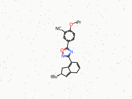 CC(C)Oc1ccc(-c2nc(C3=C4C[C@H](C(C)(C)C)[C]=C4CC=C3)no2)cc1C#N